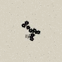 C=C1c2ccccc2-c2ccc3c4cc(-c5ccc(-n6c7ccccc7c7ccccc76)cc5)ccc4n(-c4ccc5c(c4)C(C)(C)c4ccccc4-5)c3c21